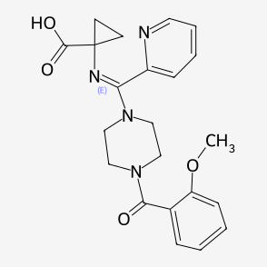 COc1ccccc1C(=O)N1CCN(/C(=N/C2(C(=O)O)CC2)c2ccccn2)CC1